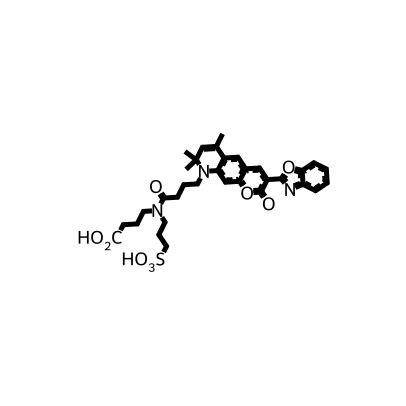 CC1=CC(C)(C)N(CCCC(=O)N(CCCC(=O)O)CCCS(=O)(=O)O)c2cc3oc(=O)c(-c4nc5ccccc5o4)cc3cc21